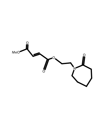 COC(=O)C=CC(=O)OCCN1CCCCCC1=O